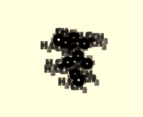 CC(C)(C)c1ccc(-c2c3c(cc4c2oc2ccccc24)N(c2ccc(C(C)(C)C)cc2-c2ccccc2)c2sc4cc5c(cc4c2B3)C(C)(C)CCC5(C)C)c(Nc2ccc3c(c2)C(C)(C)CCC3(C)C)c1